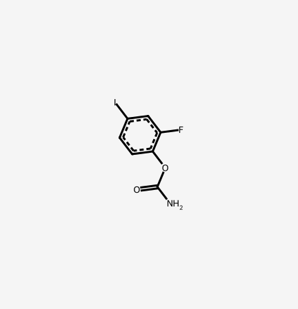 NC(=O)Oc1ccc(I)cc1F